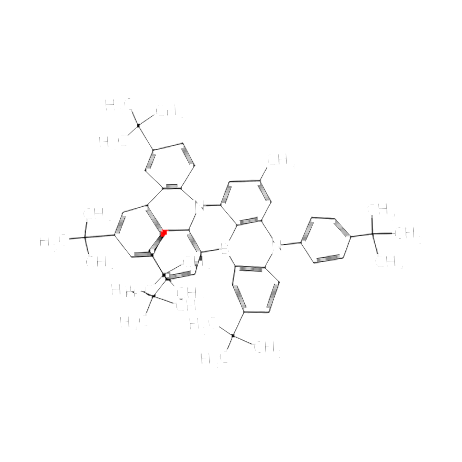 Cc1cc2c3c(c1)N(c1ccc(C(C)(C)C)cc1-c1cc(C(C)(C)C)cc(C(C)(C)C)c1)c1ccc(C(C)(C)C)cc1B3c1cc(C(C)(C)C)ccc1N2c1ccc(C(C)(C)C)cc1